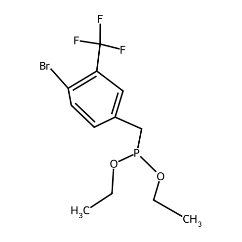 CCOP(Cc1ccc(Br)c(C(F)(F)F)c1)OCC